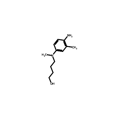 Cc1cc(N(C)CCCCO)ccc1N